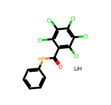 O=C(Pc1ccccc1)c1c(Cl)c(Cl)c(Cl)c(Cl)c1Cl.[LiH]